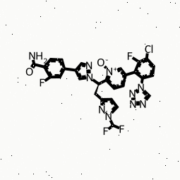 NC(=O)c1ccc(-c2cnn([C@H](Cc3ccn(C(F)F)n3)c3ccc(-c4c(-n5cnnn5)ccc(Cl)c4F)c[n+]3[O-])c2)cc1F